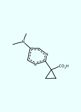 CN(C)c1cnc(C2(C(=O)O)CC2)nc1